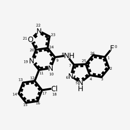 Fc1ccc2[nH]nc(Nc3nc(-c4ccccc4Cl)nc4oncc34)c2c1